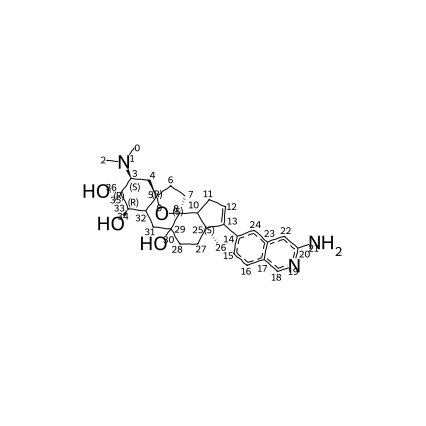 CN(C)[C@H]1C[C@@]23CC[C@]4(O2)C2CC=C(c5ccc6cnc(N)cc6c5)[C@@]2(C)CCC4(O)CC3[C@@H](O)[C@@H]1O